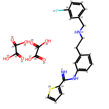 N=C(Nc1cccc(CCNCc2cccc(F)c2)c1)c1cccs1.O=C(O)C(=O)O.O=C(O)C(=O)O